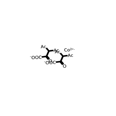 CC(=O)C(C(C)=O)C(=O)C(=O)[O-].CC(=O)C(C(C)=O)C(=O)C(=O)[O-].[Co+2]